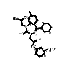 Cc1ccc2c(c1)N(CC(=O)C(C)(C)C)C(=O)N(CC(=O)Nc1cccc(C(=O)O)c1)N=C2C1CCCCC1